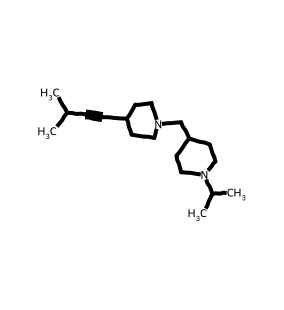 CC(C)C#CC1CCN(CC2CCN(C(C)C)CC2)CC1